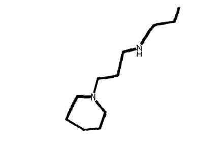 CCCNCCCN1CCCCC1